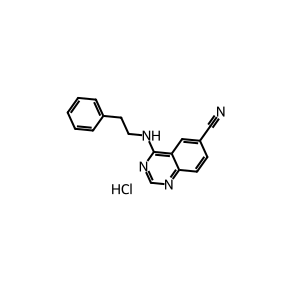 Cl.N#Cc1ccc2ncnc(NCCc3ccccc3)c2c1